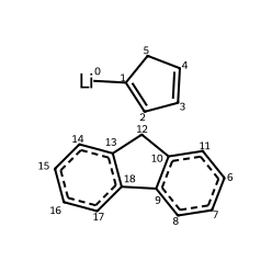 [Li][C]1=CC=CC1.c1ccc2c(c1)Cc1ccccc1-2